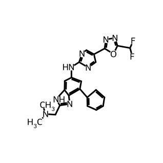 CN(C)Cc1nc2c(-c3ccccc3)cc(Nc3ncc(-c4nnc(C(F)F)o4)cn3)cc2[nH]1